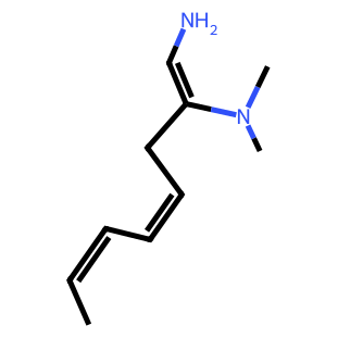 C/C=C\C=C/CC(=CN)N(C)C